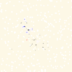 Cc1c(C(=O)c2nc(-c3cnccn3)no2)c2ccccc2n1Cc1ccc(Cl)cc1Cl